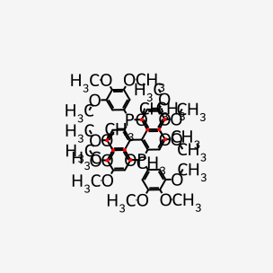 COc1cc(P(c2cc(OC)c(OC)c(OC)c2)c2cc(OC)c(OC)c(OC)c2-c2c(P(c3cc(OC)c(OC)c(OC)c3)c3cc(OC)c(OC)c(OC)c3)cc(OC)c(OC)c2OC)cc(OC)c1OC